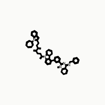 C=N/C(=N\C(=N/Cc1ccccc1)C1=CCCC=C1)c1cccc(-c2cccc3c2C2CC=CC=C2N3C(=C)CCC(=C)C(=C)CCc2cc3ccccc3n2C2=CC=CC=C=C2)c1